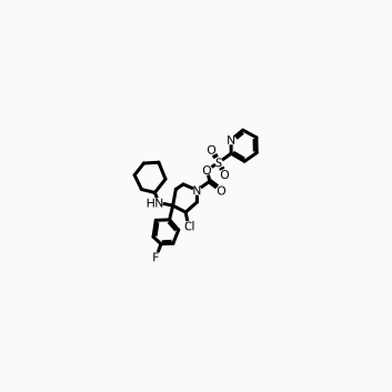 O=C(OS(=O)(=O)c1ccccn1)N1CCC(NC2CCCCC2)(c2ccc(F)cc2)C(Cl)C1